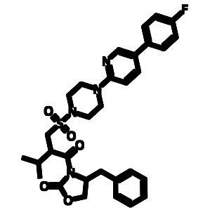 CC(C)C(CS(=O)(=O)N1CCN(c2ccc(-c3ccc(F)cc3)cn2)CC1)C(=O)N1C(=O)OCC1Cc1ccccc1